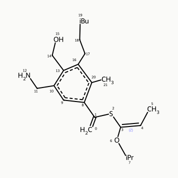 C=C(S/C(=C\C)OC(C)C)c1cc(CN)c(CO)c(CCC(C)CC)c1C